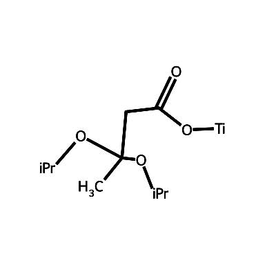 CC(C)OC(C)(CC(=O)[O][Ti])OC(C)C